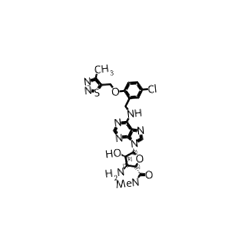 CNC(=O)[C@H]1O[C@@H](n2cnc3c(NCc4cc(Cl)ccc4OCc4snnc4C)ncnc32)[C@H](O)[C@@H]1N